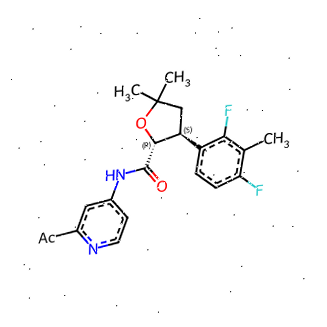 CC(=O)c1cc(NC(=O)[C@@H]2OC(C)(C)C[C@H]2c2ccc(F)c(C)c2F)ccn1